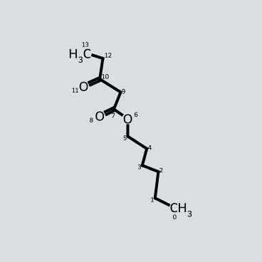 CCCCCCOC(=O)CC(=O)CC